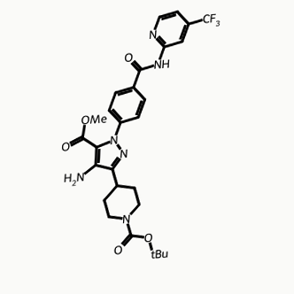 COC(=O)c1c(N)c(C2CCN(C(=O)OC(C)(C)C)CC2)nn1-c1ccc(C(=O)Nc2cc(C(F)(F)F)ccn2)cc1